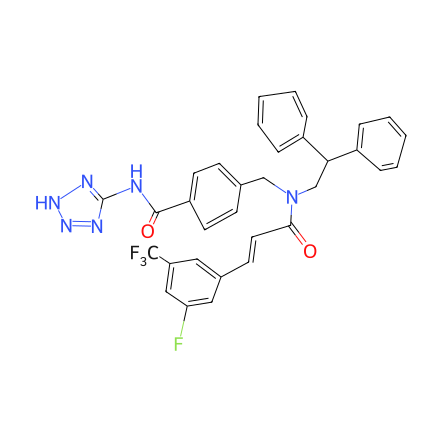 O=C(Nc1nn[nH]n1)c1ccc(CN(CC(c2ccccc2)c2ccccc2)C(=O)/C=C/c2cc(F)cc(C(F)(F)F)c2)cc1